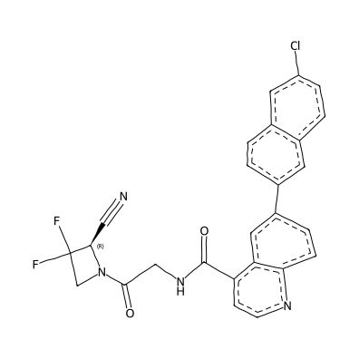 N#C[C@H]1N(C(=O)CNC(=O)c2ccnc3ccc(-c4ccc5cc(Cl)ccc5c4)cc23)CC1(F)F